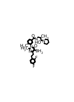 Bc1c(CCc2ccc(F)cc2F)nc(C)n(-c2cc(C(=O)NCC(C)C(=O)N3CCCCC3)ccc2C)c1=O